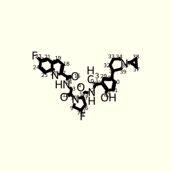 C[C@H](NC(=O)[C@@H]1C[C@@H](F)CN1C(=O)CNC(=O)c1ccc2cc(F)ccc2n1)c1cc(C2CCCN(C3CC3)C2)ccc1O